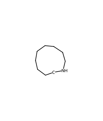 C1CCCCNCCCC1